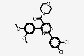 COc1ccc(-c2nc(-c3ccc(Cl)c(Cl)c3)ncc2C(=O)N2CCOCC2)cc1OC